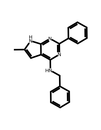 Cc1cc2c(NCc3ccccc3)nc(-c3ccccc3)nc2[nH]1